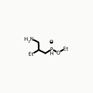 CCO[PH](=O)CC(CC)CN